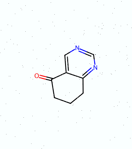 O=C1CCCc2n[c]ncc21